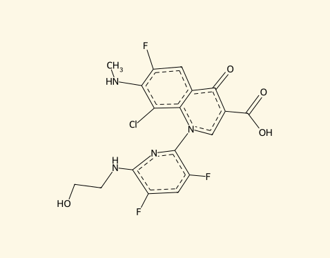 CNc1c(F)cc2c(=O)c(C(=O)O)cn(-c3nc(NCCO)c(F)cc3F)c2c1Cl